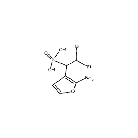 CCC(CC)C(c1ccoc1N)P(=O)(O)O